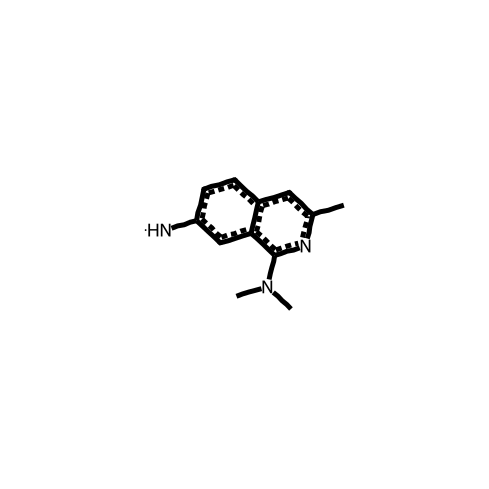 Cc1cc2ccc([NH])cc2c(N(C)C)n1